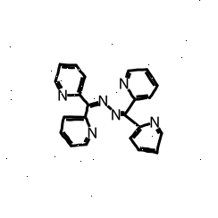 c1ccc(C(=NN=C(c2ccccn2)c2ccccn2)c2ccccn2)nc1